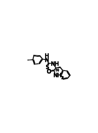 Cc1ccc(NC(=S)N[C@@H](Cc2ccccc2)C(N)=O)cc1